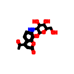 CC(=O)c1cc(=O)oc2cc(NC3C(O)OC(CO)[C@H](O)C3O)ccc12